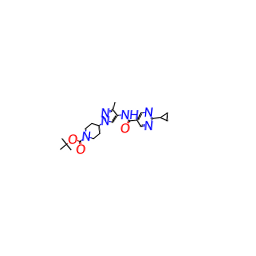 Cc1nn(C2CCN(C(=O)OC(C)(C)C)CC2)cc1NC(=O)c1cnc(C2CC2)nc1